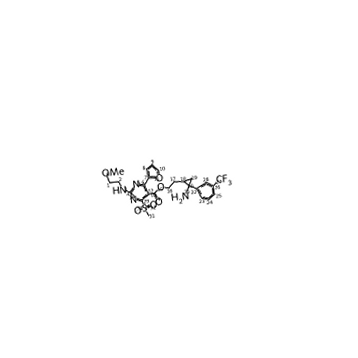 COCCNc1nc(-c2ccco2)c(C(=O)OCCC2CC2(N)c2cccc(C(F)(F)F)c2)c(S(C)(=O)=O)n1